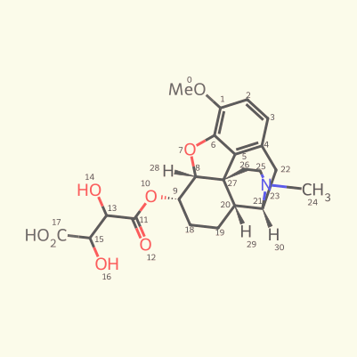 COc1ccc2c3c1O[C@H]1[C@@H](OC(=O)C(O)C(O)C(=O)O)CC[C@H]4[C@@H](C2)N(C)CC[C@@]341